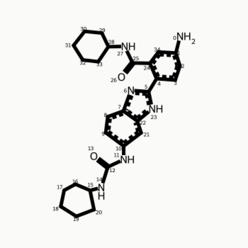 Nc1ccc(-c2nc3ccc(NC(=O)NC4CCCCC4)cc3[nH]2)c(C(=O)NC2CCCCC2)c1